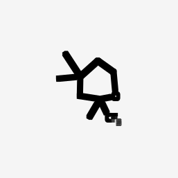 CC1(C)CCOC(C)(C(F)(F)F)C1